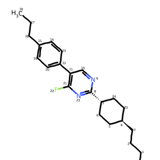 CCCC[C@H]1CC[C@H](c2ncc(-c3ccc(CCC)cc3)c(F)n2)CC1